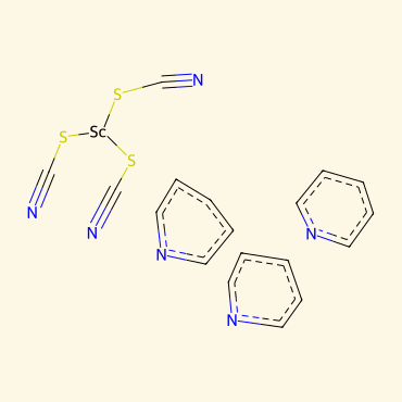 N#C[S][Sc]([S]C#N)[S]C#N.c1ccncc1.c1ccncc1.c1ccncc1